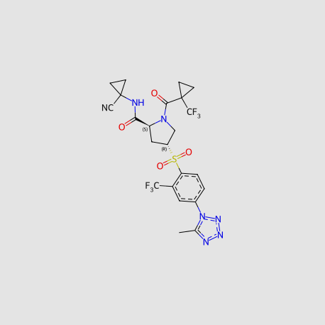 Cc1nnnn1-c1ccc(S(=O)(=O)[C@@H]2C[C@@H](C(=O)NC3(C#N)CC3)N(C(=O)C3(C(F)(F)F)CC3)C2)c(C(F)(F)F)c1